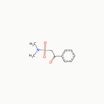 CN(C)S(=O)(=O)CC(=O)c1ccccc1